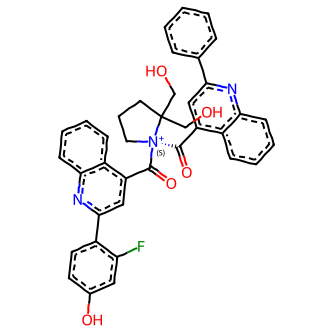 O=C(c1cc(-c2ccccc2)nc2ccccc12)[N@+]1(C(=O)c2cc(-c3ccc(O)cc3F)nc3ccccc23)CCCC1(CO)CO